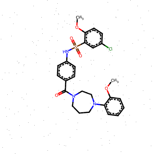 COc1ccccc1N1CCCN(C(=O)c2ccc(NS(=O)(=O)c3cc(Cl)ccc3OC)cc2)CC1